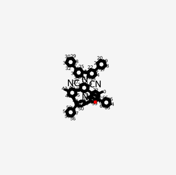 Cc1cc(C)cc(-c2c(C#N)c(-n3c4ccc(-c5ccccc5)cc4c4cc(-c5ccccc5)ccc43)c(C#N)c3c4cc(C)cc(c4)c4cc5c(cc4-c4ccccc4)c4cc(-c6ccccc6)ccc4n5c23)c1